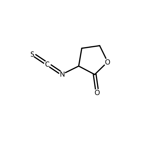 O=C1OCCC1N=C=S